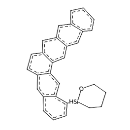 c1ccc2cc3cc4c(ccc5cc6cccc([SiH]7CCCCO7)c6cc54)cc3cc2c1